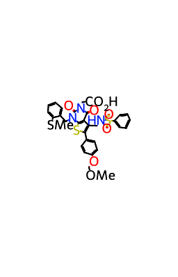 COCOc1ccc(-c2sc3c(c2CNS(=O)(=O)c2ccccc2)c(=O)n(CC(=O)O)c(=O)n3Cc2ccccc2SC)cc1